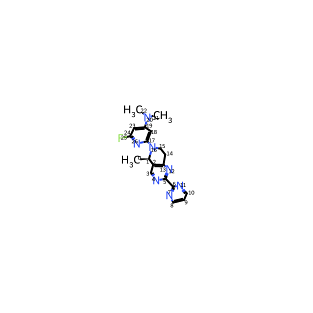 C[C@@H]1c2cnc(-c3ncccn3)nc2CCN1c1cc(N(C)C)cc(F)n1